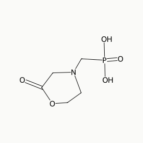 O=C1CN(CP(=O)(O)O)CCO1